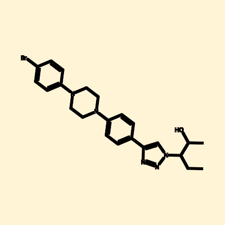 CCC(C(C)O)n1cc(-c2ccc(N3CCN(c4ccc(Br)cc4)CC3)cc2)nn1